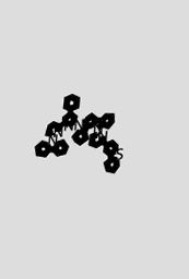 c1ccc(-c2cc(-c3cccc(-n4c5ccccc5c5ccccc54)n3)nc(-n3c4ccccc4c4c3ccc3c5ccccc5n(-c5cccc(-c6ccc7sc8ccccc8c7c6)n5)c34)c2)cc1